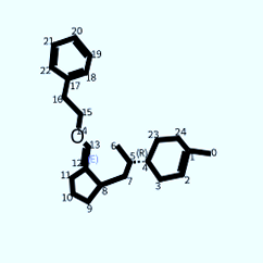 CC1=CC[C@H](C(C)CC2CCC/C2=C\OCCc2ccccc2)CC1